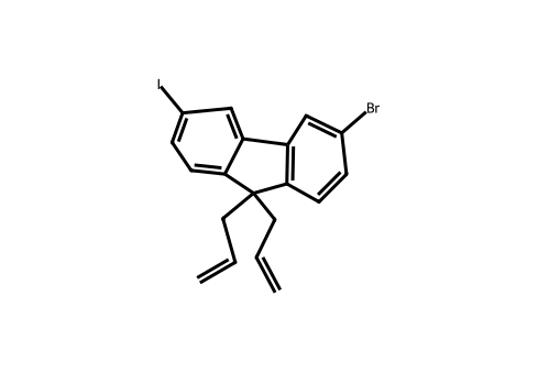 C=CCC1(CC=C)c2ccc(Br)cc2-c2cc(I)ccc21